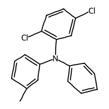 Cc1cccc(N(c2ccccc2)c2cc(Cl)ccc2Cl)c1